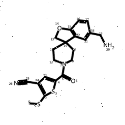 CSc1sc(C(=O)N2CCC3(CC2)COc2ccc(CN)cc23)cc1C#N